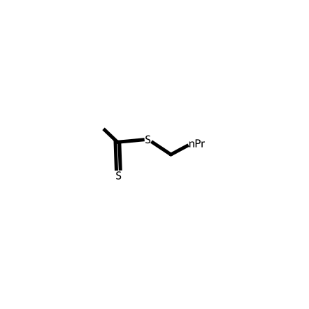 CCCCSC(C)=S